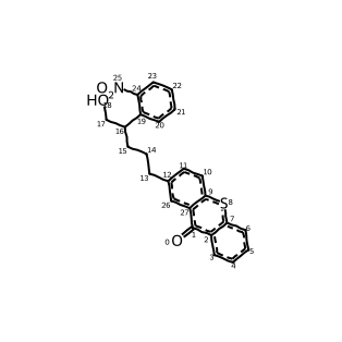 O=c1c2ccccc2sc2ccc(CCCC(CO)c3ccccc3[N+](=O)[O-])cc12